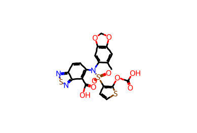 Cc1cc2c(cc1N(c1ccc3nsnc3c1C(=O)O)S(=O)(=O)c1ccsc1OC(=O)O)OCO2